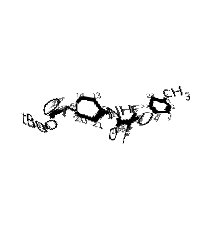 Cc1ccc(OC(F)(F)C(=O)NC2CCN(C(=O)OC(C)(C)C)CC2)cc1